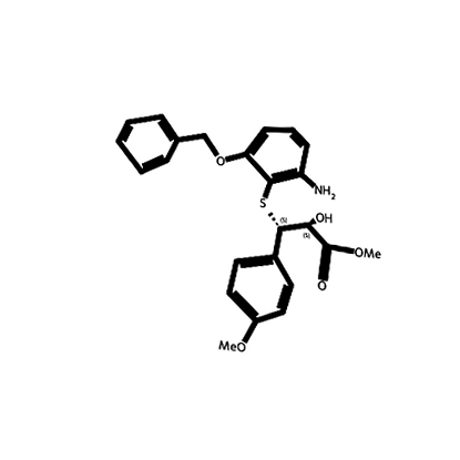 COC(=O)[C@H](O)[C@@H](Sc1c(N)cccc1OCc1ccccc1)c1ccc(OC)cc1